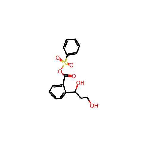 O=C(OS(=O)(=O)c1ccccc1)c1ccccc1C(O)CCO